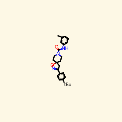 Cc1cccc(NC(=O)N2CCC3(CC2)CC(c2ccc(C(C)(C)C)cc2)=NO3)c1